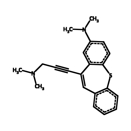 CN(C)CC#CC1=Cc2ccccc2Sc2ccc(N(C)C)cc21